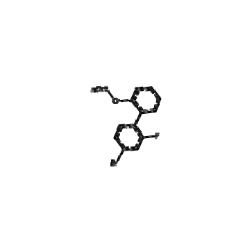 CCCCCCCCOc1ccccc1-c1ccc(Br)cc1F